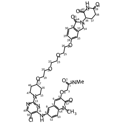 CNC(=O)COc1cc2cc(Nc3nc(N4CCC(OCCOCCOCCOc5ccc6c(c5)CN(C5CCC(=O)NC5=O)C6=O)CC4)ncc3Cl)ccc2n(C)c1=O